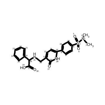 CN(C)S(=O)(=O)c1ccc(-c2ccc(CNC(C(=O)O)c3ccccc3)c(=O)[nH]2)cc1